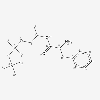 CC(COC(C)(C)CC(C)(C)C)OC(=O)C(N)Cc1ccccc1